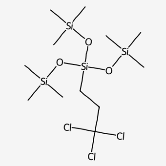 C[Si](C)(C)O[Si](CCC(Cl)(Cl)Cl)(O[Si](C)(C)C)O[Si](C)(C)C